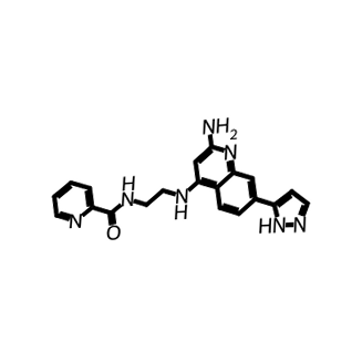 Nc1cc(NCCNC(=O)c2ccccn2)c2ccc(-c3ccn[nH]3)cc2n1